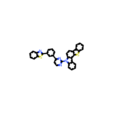 c1cc(-c2ccnc(-n3c4ccccc4c4c5sc6ccccc6c5ccc43)n2)cc(-c2nc3ccccc3s2)c1